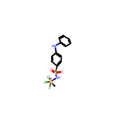 C[SH](Cl)(Cl)(Cl)NS(=O)(=O)c1ccc(Nc2ccccc2)cc1